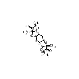 C=CC(=O)C(C)(C=O)OC1CCC(OC(C)(C=O)C(=O)C=C)CC1